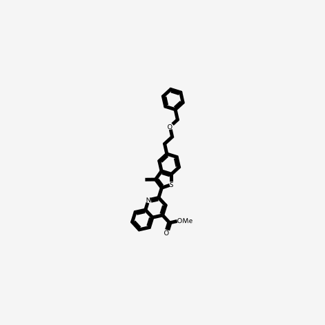 COC(=O)c1cc(-c2sc3ccc(CCOCc4ccccc4)cc3c2C)nc2ccccc12